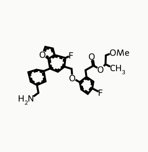 COCC(C)OC(=O)Cc1cc(F)ccc1OCc1cc(-c2cccc(CN)c2)c2occc2c1F